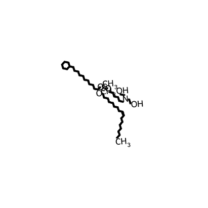 CCCCCCCC/C=C\CCCCCCCCOC(CCCCCCCCCCC1CCCCC1)O[Si](C)(C)OCCCCCCN(CCO)CCO